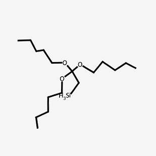 CCCCCOC(C[SiH3])(OCCCCC)OCCCCC